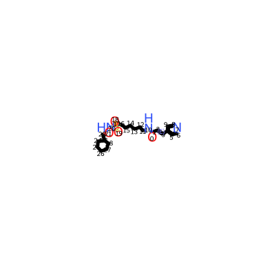 O=C(/C=C/c1ccncc1)NCCCCCCS(=O)(=O)NOCC1CCCCC1